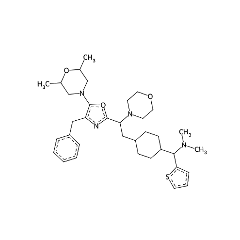 CC1CN(c2oc(C(CC3CCC(C(c4cccs4)N(C)C)CC3)N3CCOCC3)nc2Cc2ccccc2)CC(C)O1